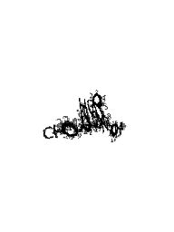 Oc1ccccc1C1CC(c2cccnc2)=NN1OCc1cc(-c2ccc(Cl)cc2)cs1